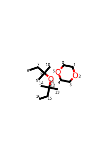 C1COCCO1.CCC(C)(C)OC(C)(C)CC